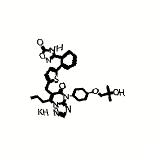 CCCc1c(Cc2ccc(-c3ccccc3-c3noc(=O)[nH]3)s2)c(=O)n([C@H]2CC[C@H](OCC(C)(C)O)CC2)c2ncnn12.[KH]